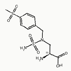 CS(=O)(=O)c1ccc(CN(C[C@H](N)C(=O)O)S(N)(=O)=O)cc1